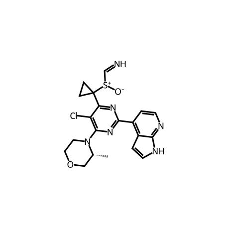 C[C@@H]1COCCN1c1nc(-c2ccnc3[nH]ccc23)nc(C2([S+]([O-])C=N)CC2)c1Cl